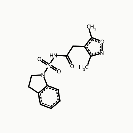 Cc1noc(C)c1CC(=O)NS(=O)(=O)N1CCc2ccccc21